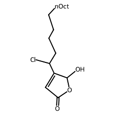 CCCCCCCCCCCCC(Cl)C1=CC(=O)OC1O